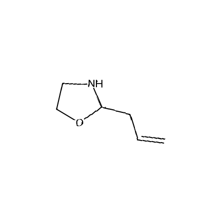 C=CC[C]1NCCO1